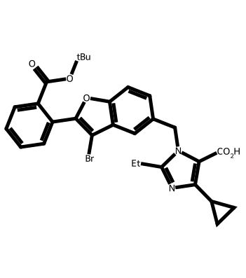 CCc1nc(C2CC2)c(C(=O)O)n1Cc1ccc2oc(-c3ccccc3C(=O)OC(C)(C)C)c(Br)c2c1